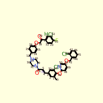 Cc1cc(/C=C/C(=O)N2CCN(Cc3ccc(OCC(=O)c4ccc(F)cc4)cc3)CC2)cc(Cl)c1Oc1ccc(OCc2ccccc2Cl)cn1.Cl